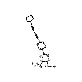 C[C@@H](N)[C@H](NC(=O)c1ccc(C#CC#CC2CCCC2)cc1)C(=O)NO